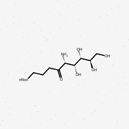 CCCCCCCCCCCCC(=O)[C@H](N)[C@@H](O)[C@H](O)[C@H](O)CO